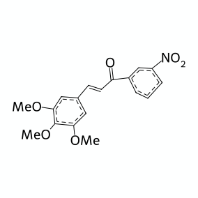 COc1cc(/C=C/C(=O)c2cccc([N+](=O)[O-])c2)cc(OC)c1OC